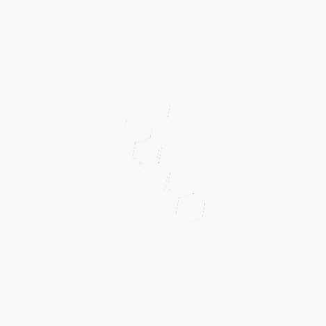 CCOc1cc(C=[N+]([O-])C2CCCCC2)ccc1OC